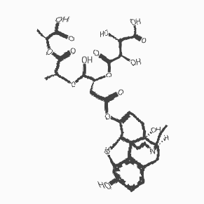 C[C@H](OC(=O)[C@H](C)OC(O)[C@H](CC(=O)OC1=CC[C@@]2(O)[C@H]3Cc4ccc(O)c5c4C2(CCN3C)[C@H]1O5)OC(=O)[C@H](O)[C@@H](O)C(=O)O)C(=O)O